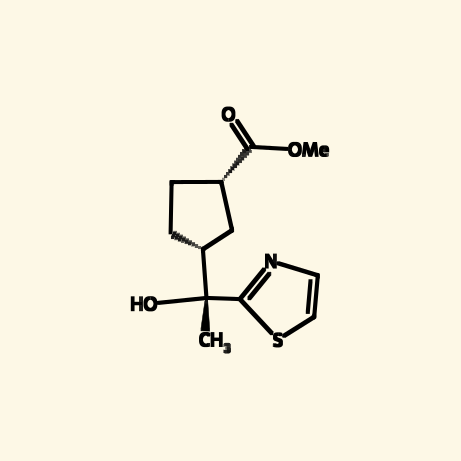 COC(=O)[C@H]1CC[C@@H]([C@@](C)(O)c2nccs2)C1